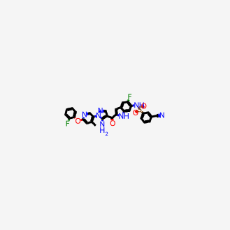 Cc1cc(Oc2ccccc2F)ncc1-n1ncc(C(=O)c2cc3cc(F)c(NS(=O)(=O)c4cccc(C#N)c4)cc3[nH]2)c1N